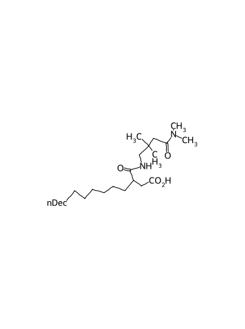 CCCCCCCCCCCCCCCCC(CC(=O)O)C(=O)NCC(C)(C)CC(=O)N(C)C